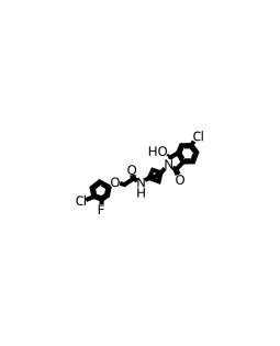 O=C(COc1ccc(Cl)c(F)c1)NC12CC(N3C(=O)c4ccc(Cl)cc4[C@@H]3O)(C1)C2